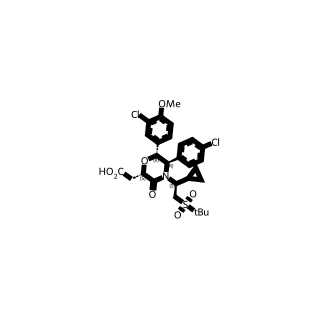 COc1ccc([C@H]2O[C@@H](CC(=O)O)C(=O)N([C@H](CS(=O)(=O)C(C)(C)C)C3CC3)[C@@H]2c2ccc(Cl)cc2)cc1Cl